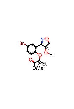 CCO[C@@H]1CON=C1c1cc(Br)ccc1O[C@@H](CC)C(=O)OC